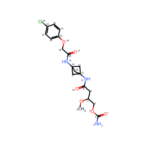 COC(COC(N)=O)CC(=O)NC12CC(NC(=O)COc3ccc(Cl)cc3)(C1)C2